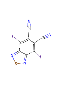 N#Cc1c(C#N)c(I)c2nsnc2c1I